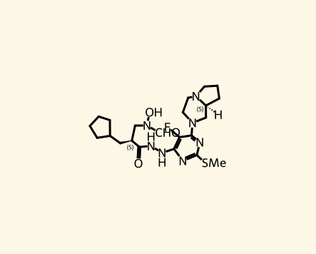 CSc1nc(NNC(=O)[C@@H](CC2CCCC2)CN(O)C=O)c(F)c(N2CCN3CCC[C@H]3C2)n1